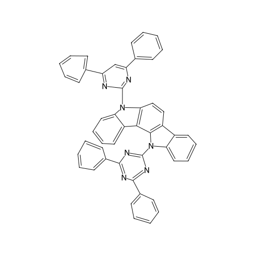 c1ccc(-c2cc(-c3ccccc3)nc(-n3c4ccccc4c4c3ccc3c5ccccc5n(-c5nc(-c6ccccc6)nc(-c6ccccc6)n5)c34)n2)cc1